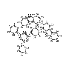 c1ccc(-c2nc(-c3ccccc3)nc(-c3ccc(-c4cccc5c4sc4ccccc45)c(-c4cccc5oc6ccccc6c45)c3)n2)cc1